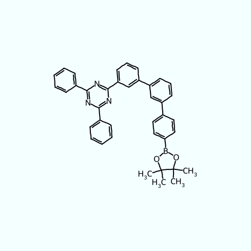 CC1(C)OB(c2ccc(-c3cccc(-c4cccc(-c5nc(-c6ccccc6)nc(-c6ccccc6)n5)c4)c3)cc2)OC1(C)C